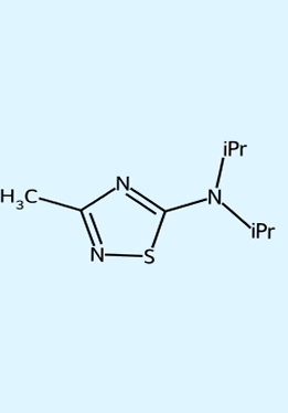 Cc1nsc(N(C(C)C)C(C)C)n1